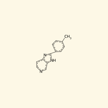 Cc1ccc(-c2nc3ccncc3[nH]2)cc1